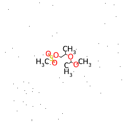 COC(C)OC(C)COS(C)(=O)=O